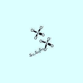 [O]=[V]([O-])([O-])[O-].[O]=[V]([O-])([O-])[O-].[Sr+2].[Sr+2].[Sr+2]